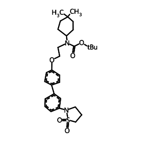 CC1(C)CCC(N(CCOc2ccc(-c3cccc(N4CCCS4(=O)=O)c3)cc2)C(=O)OC(C)(C)C)CC1